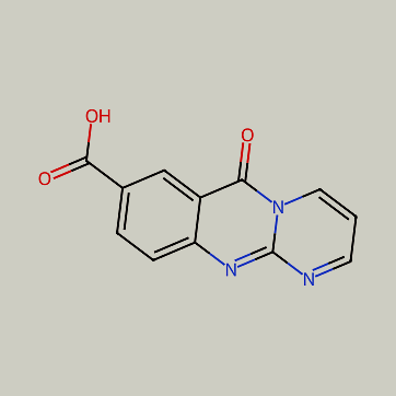 O=C(O)c1ccc2nc3ncccn3c(=O)c2c1